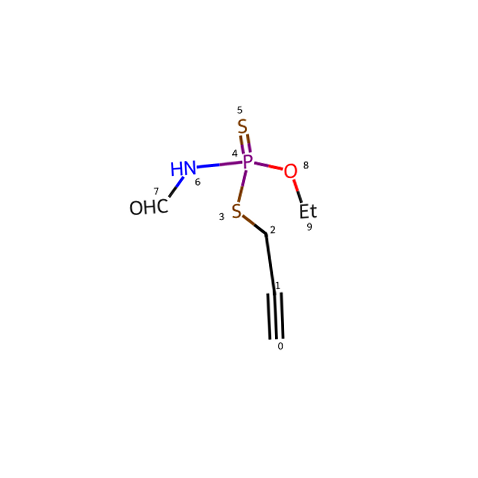 C#CCSP(=S)(NC=O)OCC